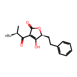 CCCC[C@@H](C)C(=O)C1=C(O)[C@H](CCc2ccccc2)OC1=O